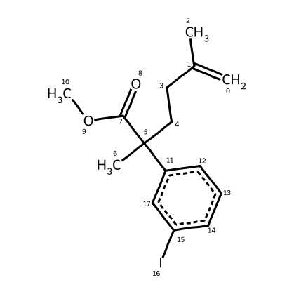 C=C(C)CCC(C)(C(=O)OC)c1cccc(I)c1